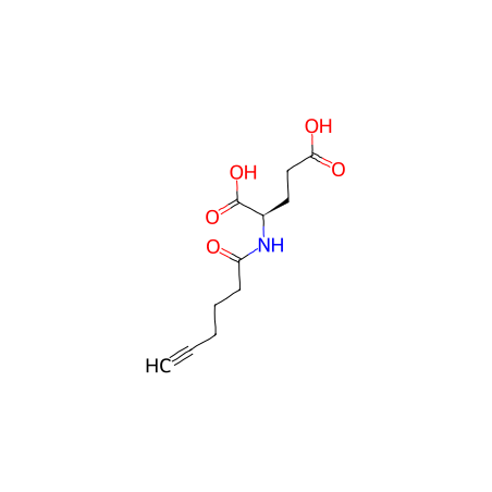 C#CCCCC(=O)N[C@H](CCC(=O)O)C(=O)O